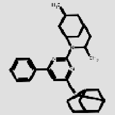 CC1CC2CC(C)N(c3nc(-c4ccccc4)cc(N4C5CC6CC(C5)CC4C6)n3)C(C1)C2